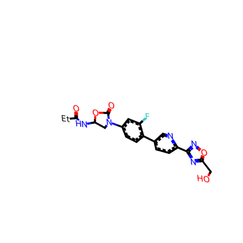 CCC(=O)NC1CN(c2ccc(-c3ccc(-c4noc(CO)n4)nc3)c(F)c2)C(=O)O1